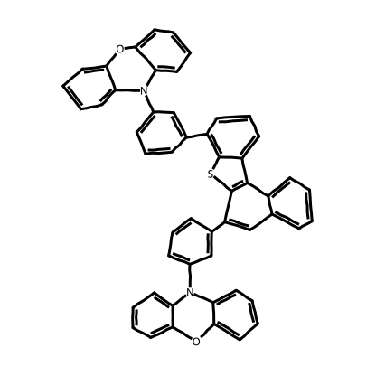 c1cc(-c2cccc3c2sc2c(-c4cccc(N5c6ccccc6Oc6ccccc65)c4)cc4ccccc4c23)cc(N2c3ccccc3Oc3ccccc32)c1